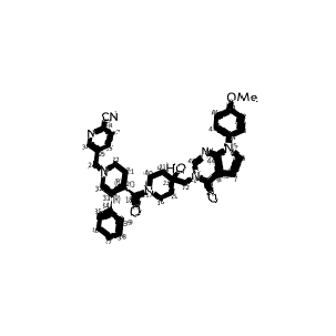 COc1ccc(-n2ccc3c(=O)n(CC4(O)CCN(C(=O)[C@@H]5CCN(Cc6ccc(C#N)nc6)C[C@H]5c5ccccc5)CC4)cnc32)cc1